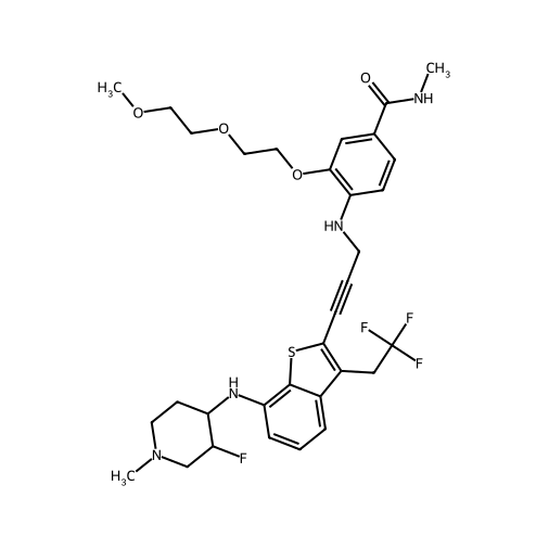 CNC(=O)c1ccc(NCC#Cc2sc3c(NC4CCN(C)CC4F)cccc3c2CC(F)(F)F)c(OCCOCCOC)c1